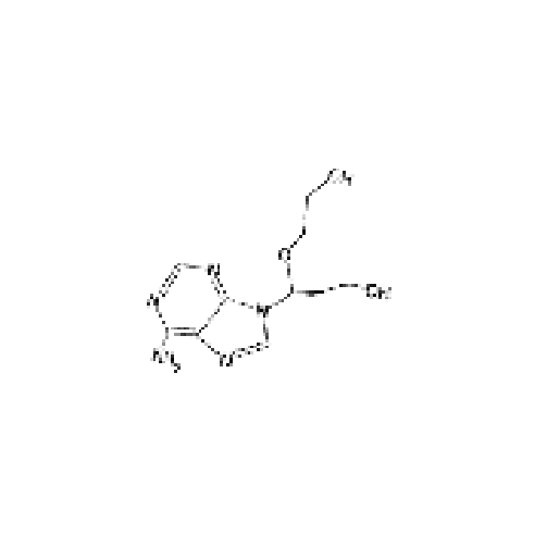 Nc1ncnc2c1ncn2[C@H](CCO)OCCO